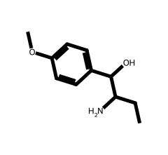 CCC(N)C(O)c1ccc(OC)cc1